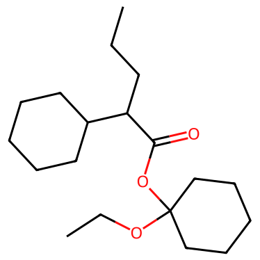 CCCC(C(=O)OC1(OCC)CCCCC1)C1CCCCC1